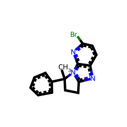 CC1(c2ccccc2)CCc2nc3ccc(Br)nc3n21